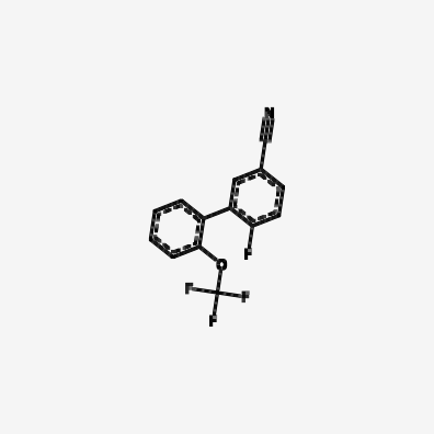 N#Cc1ccc(F)c(-c2ccccc2OC(F)(F)F)c1